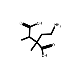 CC(C(=O)O)C(C)(CCN)C(=O)O